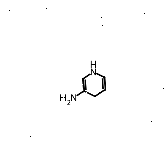 NC1=CNC=CC1